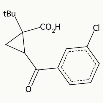 CC(C)(C)C1(C(=O)O)CC1C(=O)c1cccc(Cl)c1